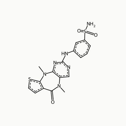 CN1C(=O)c2ccsc2N(C)c2nc(Nc3cccc(S(N)(=O)=O)c3)ncc21